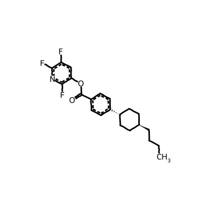 CCCC[C@H]1CC[C@H](c2ccc(C(=O)Oc3cc(F)c(F)nc3F)cc2)CC1